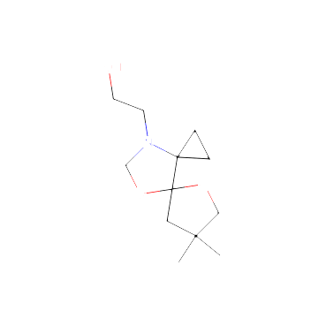 CC1(C)COC2(C1)OCN(CCO)C21CC1